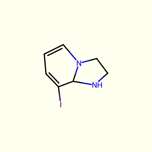 IC1=CC=CN2CCNC12